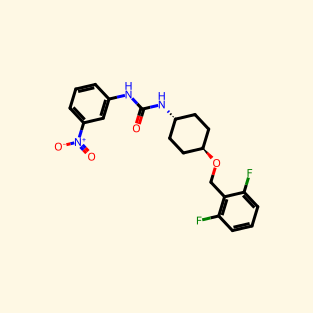 O=C(Nc1cccc([N+](=O)[O-])c1)N[C@H]1CC[C@H](OCc2c(F)cccc2F)CC1